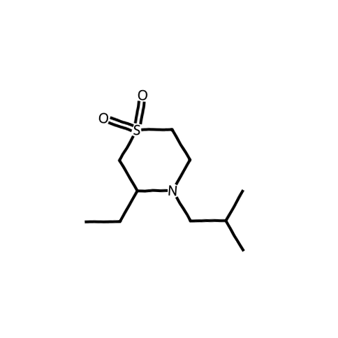 CCC1CS(=O)(=O)CCN1CC(C)C